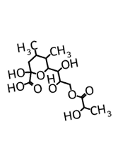 CC(O)C(=O)OCC(O)C(O)C1OC(O)(C(=O)O)CC(C)C1C